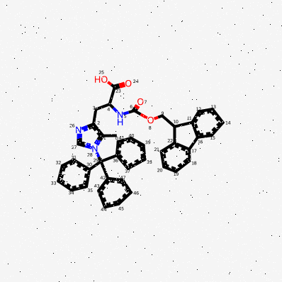 Cc1c(CC(NC(=O)OCC2c3ccccc3-c3ccccc32)C(=O)O)ncn1C(c1ccccc1)(c1ccccc1)c1ccccc1